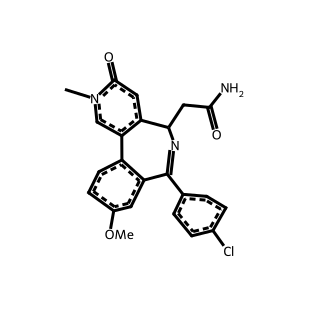 COc1ccc2c(c1)C(c1ccc(Cl)cc1)=NC(CC(N)=O)c1cc(=O)n(C)cc1-2